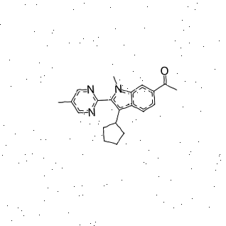 CC(=O)c1ccc2c(C3CCCC3)c(-c3ncc(C)cn3)n(C)c2c1